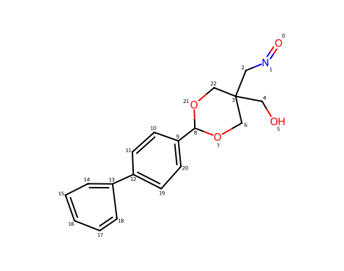 O=NCC1(CO)COC(c2ccc(-c3ccccc3)cc2)OC1